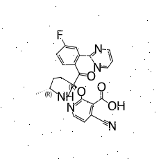 C[C@@H]1CC[C@](Oc2nccc(C#N)c2C(=O)O)(C(=O)c2ccc(F)cc2-c2ncccn2)CN1